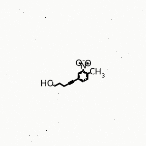 Cc1ccc(C#CCCCO)cc1[N+](=O)[O-]